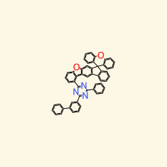 c1ccc(-c2cccc(-c3nc(-c4ccccc4)nc(-c4cccc5oc6cc7c(cc6c45)-c4ccccc4C74c5ccccc5Oc5ccccc54)n3)c2)cc1